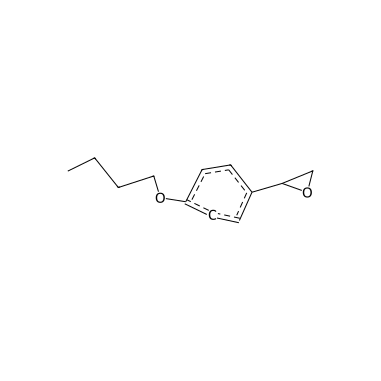 CCCCOc1ccc(C2CO2)cc1